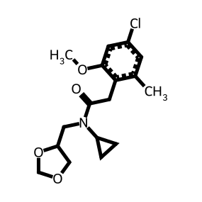 COc1cc(Cl)cc(C)c1CC(=O)N(CC1COCO1)C1CC1